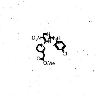 COC(=O)CC1CCCN(c2nc(Nc3ccc(Cl)cc3)ncc2[N+](=O)[O-])C1